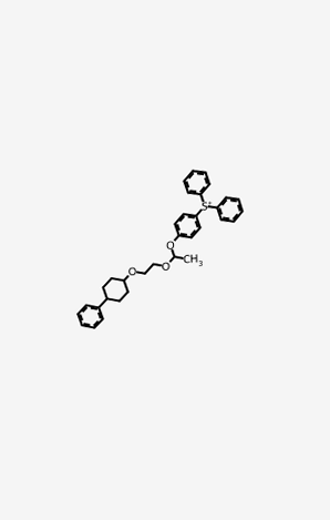 CC(OCCOC1CCC(c2ccccc2)CC1)Oc1ccc([S+](c2ccccc2)c2ccccc2)cc1